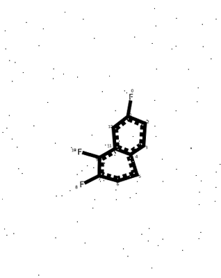 Fc1[c]cc2c[c]c(F)c(F)c2c1